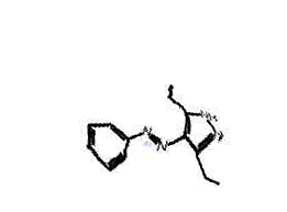 CCc1n[nH]c(CC)c1/N=N/c1ccccc1